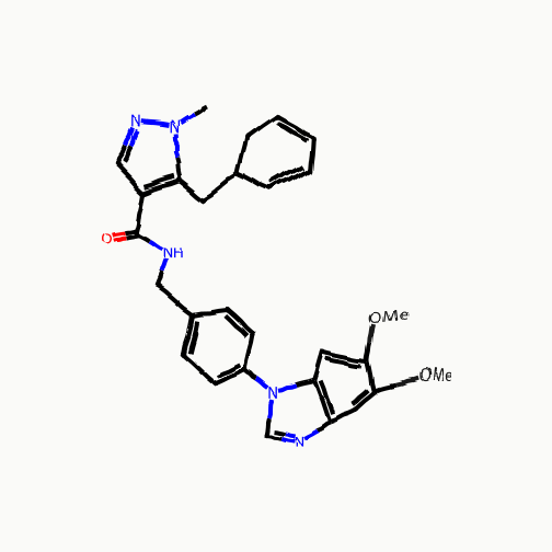 COc1cc2ncn(-c3ccc(CNC(=O)c4cnn(C)c4CC4C=CC=CC4)cc3)c2cc1OC